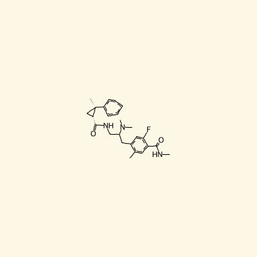 CNC(=O)c1cc(C)c(CC(CNC(=O)[C@@H]2C[C@@]2(C)c2ccccc2)N(C)C)cc1F